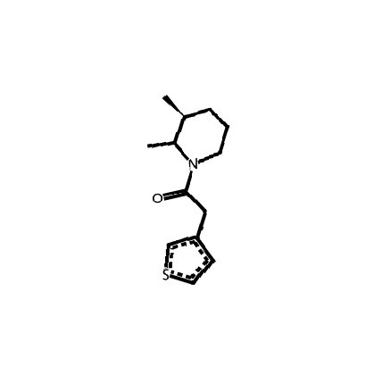 CC1[C@@H](C)CCCN1C(=O)Cc1ccsc1